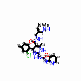 CN/C=C(\C=N)CNC(=O)C1=C(C)NC(Nc2nc3ncccc3o2)=NC1c1ccc(C)cc1Cl